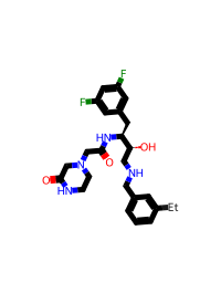 CCc1cccc(CNC[C@@H](O)[C@H](Cc2cc(F)cc(F)c2)NC(=O)CN2CCNC(=O)C2)c1